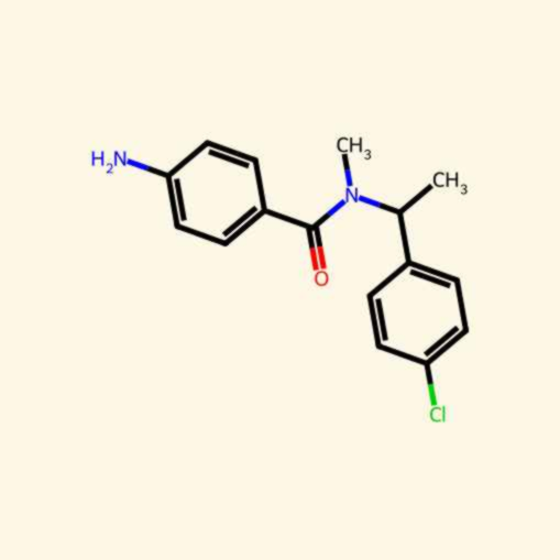 CC(c1ccc(Cl)cc1)N(C)C(=O)c1ccc(N)cc1